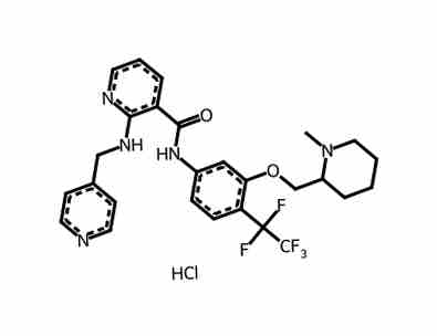 CN1CCCCC1COc1cc(NC(=O)c2cccnc2NCc2ccncc2)ccc1C(F)(F)C(F)(F)F.Cl